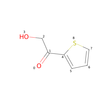 O=C(CO)c1cccs1